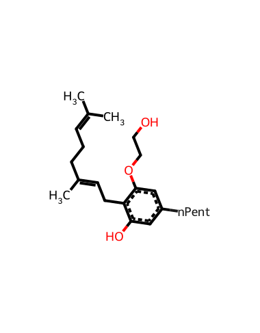 CCCCCc1cc(O)c(C/C=C(\C)CCC=C(C)C)c(OCCO)c1